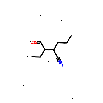 CCCC(C#N)C(C=O)CC